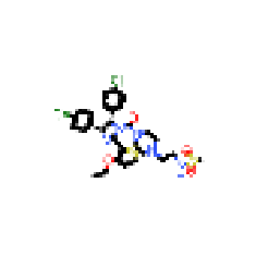 CCOc1ccsc1C1=N[C@@H](c2ccc(Cl)cc2)[C@@H](c2ccc(Cl)cc2)N1C(=O)N1CCN(CCNS(C)(=O)=O)CC1